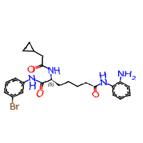 Nc1ccccc1NC(=O)CCCC[C@H](NC(=O)CC1CC1)C(=O)Nc1cccc(Br)c1